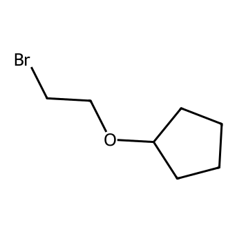 BrCCOC1CCCC1